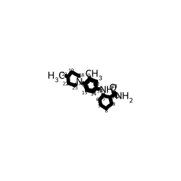 Cc1cc(NC2CCCCC2C(N)=O)ccc1N1CCC(C)CC1